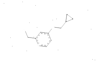 ClCc1cc(OCC2CC2)ccn1